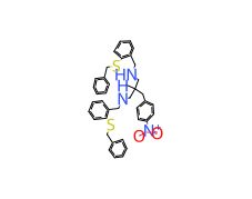 CC(CNCc1ccccc1SCc1ccccc1)(CNCc1ccccc1SCc1ccccc1)Cc1ccc([N+](=O)[O-])cc1